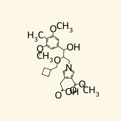 COC(=O)c1cn(CC(OCC2CCC2)C(O)c2cc(OC)c(C)c(OC)c2)cc1CC(=O)O